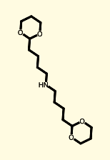 C(CCC1OCCCO1)CNCCCCC1OCCCO1